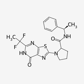 C[C@@H](NC(=O)C1CCCN1c1nc2c(=O)[nH]c(C(C)(F)F)nc2s1)c1ccccc1